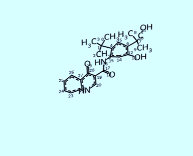 CC(C)(C)c1cc(C(C)(C)CO)c(O)cc1NC(=O)c1c[nH]c2ccccc2c1=O